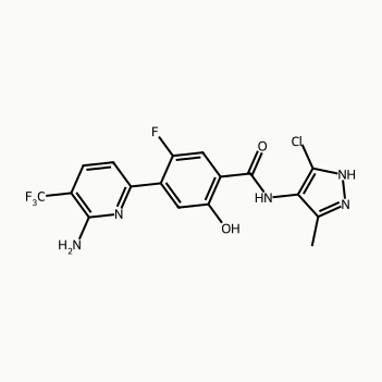 Cc1n[nH]c(Cl)c1NC(=O)c1cc(F)c(-c2ccc(C(F)(F)F)c(N)n2)cc1O